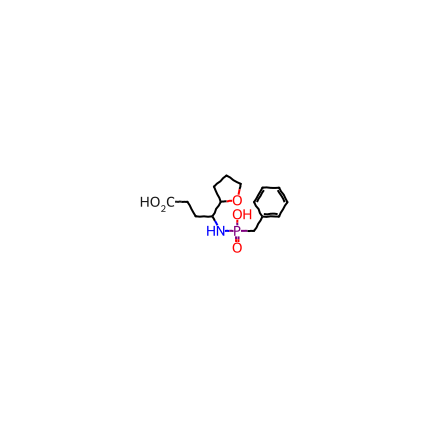 O=C(O)CCC(NP(=O)(O)Cc1ccccc1)C1CCCO1